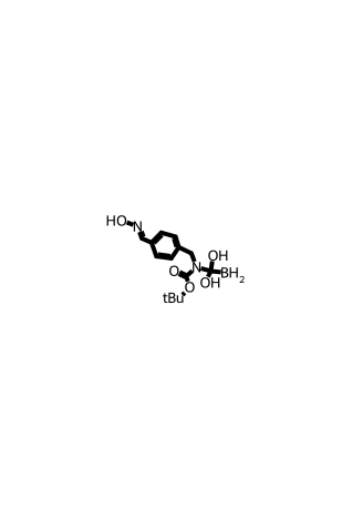 BC(O)(O)N(Cc1ccc(/C=N/O)cc1)C(=O)OC(C)(C)C